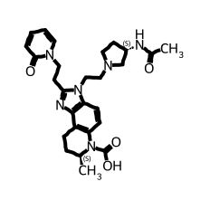 CC(=O)N[C@H]1CCN(CCn2c(CCn3ccccc3=O)nc3c4c(ccc32)N(C(=O)O)[C@@H](C)CC4)C1